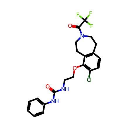 O=C(NCCOc1c(Cl)ccc2c1CCN(C(=O)C(F)(F)F)CC2)Nc1ccccc1